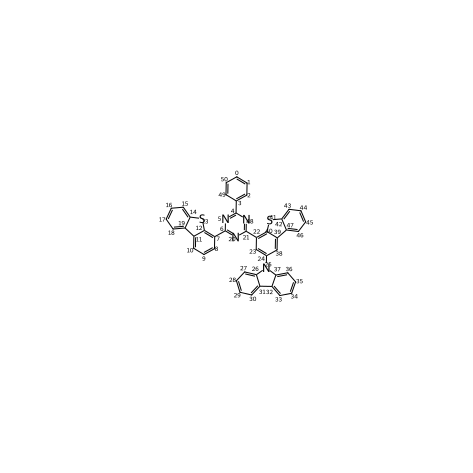 c1ccc(-c2nc(-c3cccc4c3sc3ccccc34)nc(-c3cc(-n4c5ccccc5c5ccccc54)cc4c3sc3ccccc34)n2)cc1